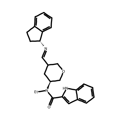 CCN(C(=O)c1cc2ccccc2[nH]1)[C@@H]1COCC(/C=N/[C@@H]2CCc3ccccc32)C1